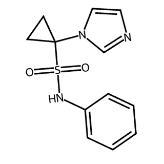 O=S(=O)(Nc1ccccc1)C1(n2ccnc2)CC1